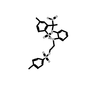 Cc1ccc(S(=O)(=O)OCCOc2ccccc2OC(C)(c2cc(C)ccc2S(=O)(=O)O)[N+](=O)[O-])cc1